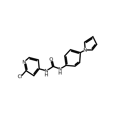 O=C(Nc1ccc(-n2cccc2)cc1)Nc1ccnc(Cl)c1